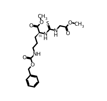 COC(=O)CNC(=S)N[C@@H](CCCNC(=O)OCc1ccccc1)C(=O)OC